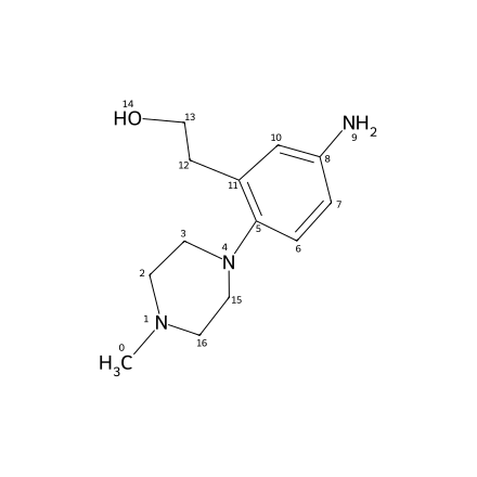 CN1CCN(c2ccc(N)cc2CCO)CC1